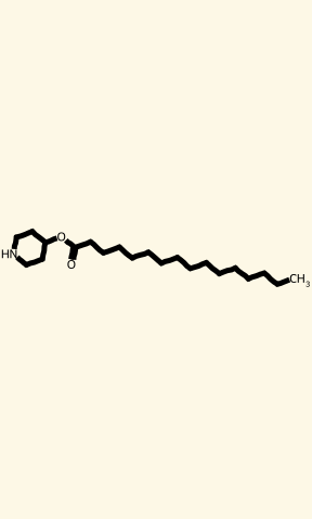 CCCCCCCCCCCCCCCC(=O)OC1CCNCC1